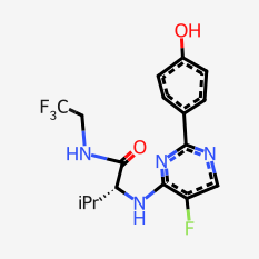 CC(C)[C@@H](Nc1nc(-c2ccc(O)cc2)ncc1F)C(=O)NCC(F)(F)F